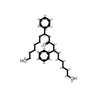 O=C(CC(CCCCCCO)c1ccccc1)CC(CCCCCCO)c1ccccc1